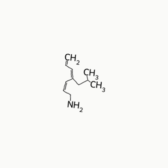 C=C/C=C(\C=C/CN)CC(C)C